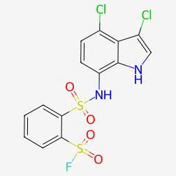 O=S(=O)(F)c1ccccc1S(=O)(=O)Nc1ccc(Cl)c2c(Cl)c[nH]c12